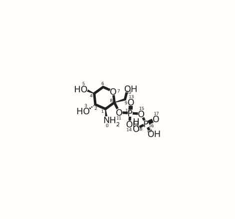 N[C@H]1[C@H](O)[C@@H](O)CO[C@]1(CO)OP(=O)(O)OP(=O)(O)O